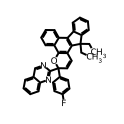 CCC1(CC)c2ccccc2-c2c1c1c(c3ccccc23)OC(c2ccc(F)cc2)(c2ncc3ccccc3n2)C=C1